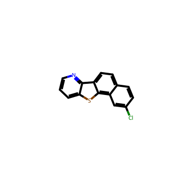 Clc1ccc2ccc3c4ncccc4sc3c2c1